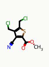 COC(=O)c1sc(CCl)c(CCl)c1C#N